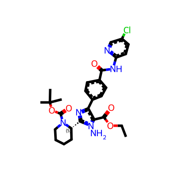 CCOC(=O)c1c(-c2ccc(C(=O)Nc3ccc(Cl)cn3)cc2)nc([C@@H]2CCCCN2C(=O)OC(C)(C)C)n1N